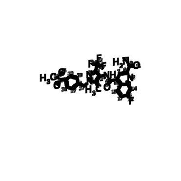 Cc1c(NC(=O)c2cc(C(N)=O)nc3cc(F)ccc23)c(C(F)(F)F)nn1Cc1ccc(S(C)(=O)=O)cc1